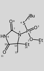 CCOP(=O)(SC(C)CC)N1C(=O)NC(=O)C1(C)CC